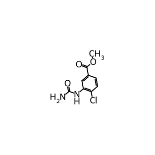 COC(=O)c1ccc(Cl)c(NC(N)=O)c1